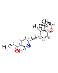 CCC(O)c1ccc(C#Cc2ccc3c(c2)C(C)(C)CCO3)nc1